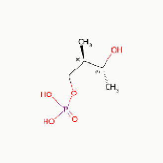 C[C@H](COP(=O)(O)O)[C@@H](C)O